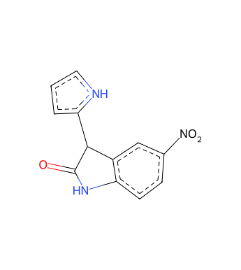 O=C1Nc2ccc([N+](=O)[O-])cc2C1c1ccc[nH]1